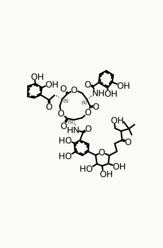 CC(C)(C)C(CO)C(=O)CCC1OC(c2cc(O)c(O)c(C(=O)N[C@H]3COC(=O)[C@@H](NC(=O)c4cccc(O)c4O)COC(=O)[C@@H](CC(=O)c4cccc(O)c4O)COC3=O)c2)C(O)C(O)C1O